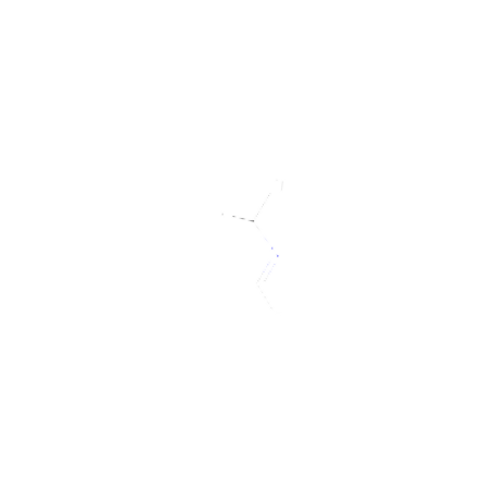 CCC=NC(C)C